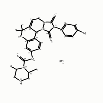 CC(=O)c1ccc(-n2c(=O)n3n(c2=O)C2C(=CC3)C(C)(C)Oc3cc(OC(=O)N4C(C)CNCC4C)ccc32)cc1.Cl